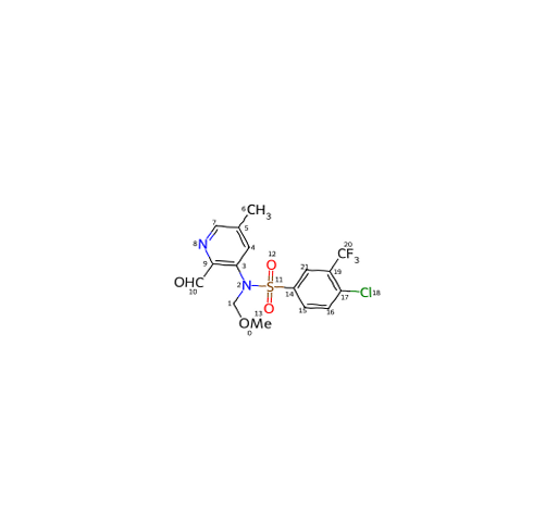 COCN(c1cc(C)cnc1C=O)S(=O)(=O)c1ccc(Cl)c(C(F)(F)F)c1